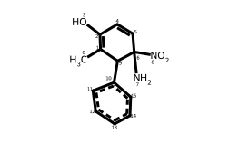 CC1=C(O)C=CC(N)([N+](=O)[O-])C1c1ccccc1